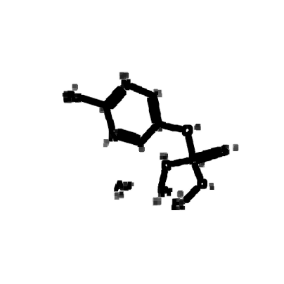 CCOP(=S)(Oc1cnc(C(C)(C)C)nc1)OC(C)C.[Au]